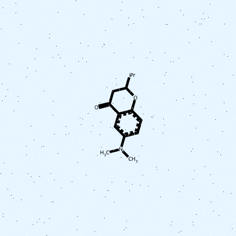 CC(C)C1CC(=O)c2cc(N(C)C)ccc2O1